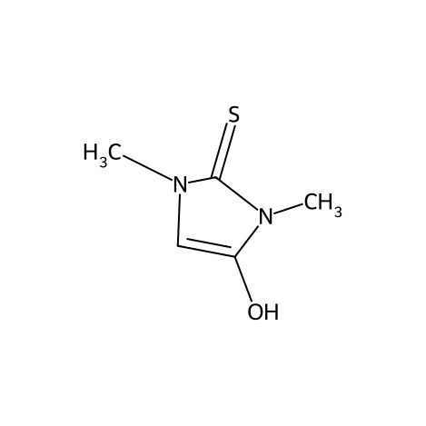 Cn1cc(O)n(C)c1=S